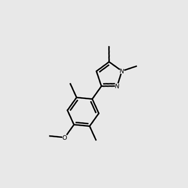 COc1cc(C)c(-c2cc(C)n(C)n2)cc1C